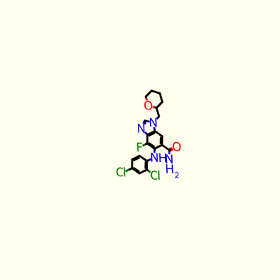 NC(=O)c1cc2c(ncn2CC2CCCCO2)c(F)c1Nc1ccc(Cl)cc1Cl